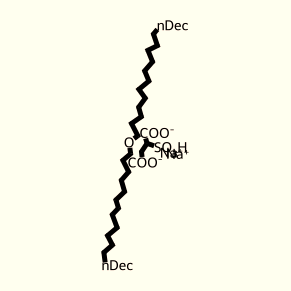 CCCCCCCCCCCCCCCCCCCCCCOCCCCCCCCCCCCCCCCCCCCCC.O=C([O-])CC(C(=O)[O-])S(=O)(=O)O.[Na+].[Na+]